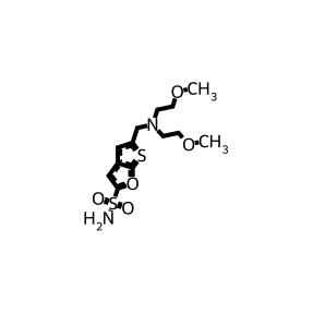 COCCN(CCOC)Cc1cc2cc(S(N)(=O)=O)oc2s1